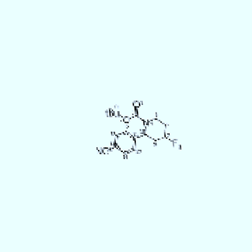 CC(C)(C)OC(=O)N1CCC(F)CC1c1ccc(C#N)cc1